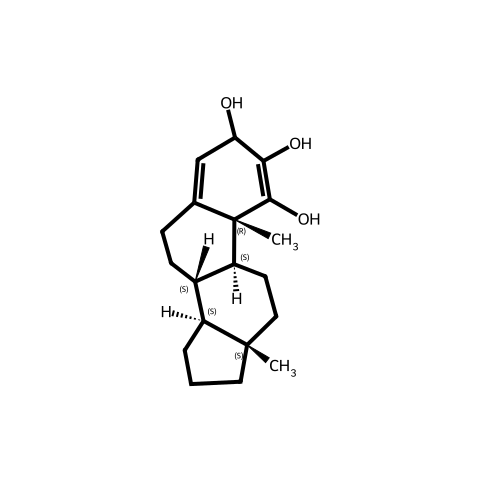 C[C@@]12CCC[C@H]1[C@@H]1CCC3=CC(O)C(O)=C(O)[C@]3(C)[C@H]1CC2